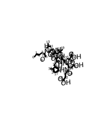 CC=CC[C@@H](C=O)NC(=O)[C@H](CC(C)C)NC(=O)[C@@H](NC(=O)[C@H](Cc1ccccc1C)NC(=O)[C@H](CCC(=O)O)NC(=O)[C@H](CC(=O)O)NC(=O)CCC(=O)O)C(C)(C)C